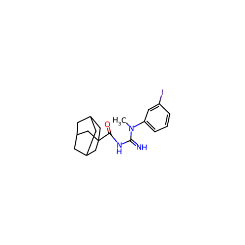 CN(C(=N)NC(=O)C12CC3CC(CC(C3)C1)C2)c1cccc(I)c1